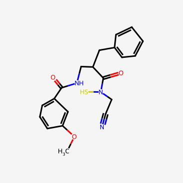 COc1cccc(C(=O)NCC(Cc2ccccc2)C(=O)N(S)CC#N)c1